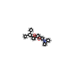 c1ccc(-c2cc(-c3ccccc3)cc(-c3cccc4c3oc3ccc5c6ccc(-n7c8ccccc8c8ccccc87)cc6oc5c34)c2)cc1